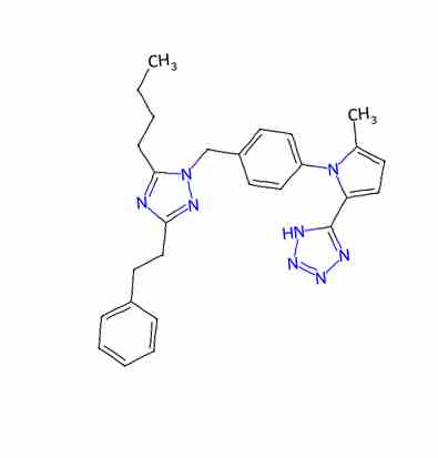 CCCCc1nc(CCc2ccccc2)nn1Cc1ccc(-n2c(C)ccc2-c2nnn[nH]2)cc1